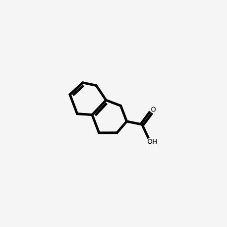 O=C(O)C1CCC2=C(CC=CC2)C1